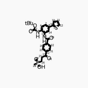 CC(C)(C)OC(=O)Nc1ccc(-c2cccs2)cc1NC(=O)c1ccc(C(=O)CCP(C)(=O)O)cc1